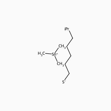 CC(C)CCCCC[S-].[CH3][Sn+]([CH3])[CH3]